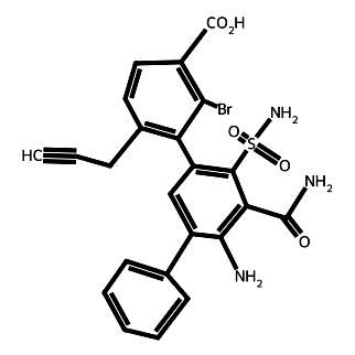 C#CCc1ccc(C(=O)O)c(Br)c1-c1cc(-c2ccccc2)c(N)c(C(N)=O)c1S(N)(=O)=O